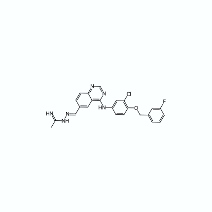 CC(=N)N/N=C/c1ccc2ncnc(Nc3ccc(OCc4cccc(F)c4)c(Cl)c3)c2c1